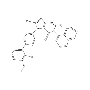 COc1cccc(-c2ccc(-n3c(Cl)cc4[nH]c(=O)n(-c5cccc6ccccc56)c(=O)c43)cc2)c1O